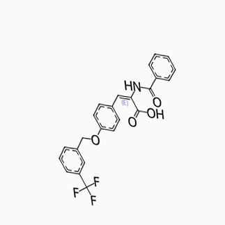 O=C(O)/C(=C\c1ccc(OCc2cccc(C(F)(F)F)c2)cc1)NC(=O)c1ccccc1